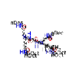 CCCCCCCCCCCNC(=O)CCCCCN(CCCCCCCC(=O)NC(CCCCCCCC)CCCCCCCC)CCNC(=O)CCC(=O)NCCN(CCCCCCC(C)(C)C(=O)NC(CCCCCCCC)CCCCCCCC)CCCCCC(=O)NCCCCCCCCCCC